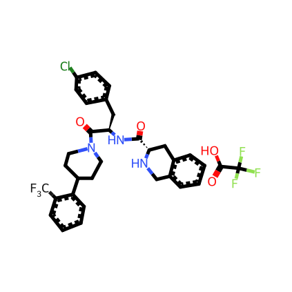 O=C(N[C@H](Cc1ccc(Cl)cc1)C(=O)N1CCC(c2ccccc2C(F)(F)F)CC1)[C@@H]1Cc2ccccc2CN1.O=C(O)C(F)(F)F